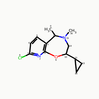 CC1c2ccc(Cl)nc2OC(C2CC2)CN1C